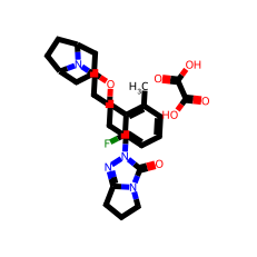 Cc1cccc(F)c1COC1CC2CCC(C1)N2CCCCCn1nc2n(c1=O)CCC2.O=C(O)C(=O)O